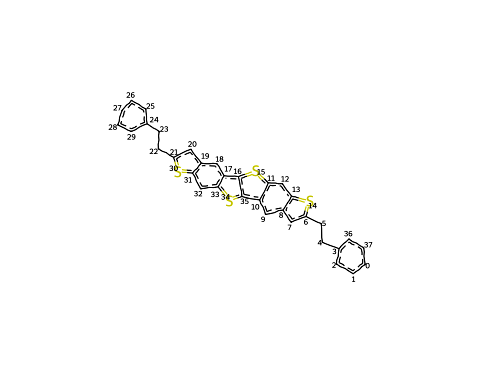 c1ccc(CCc2cc3cc4c(cc3s2)sc2c3cc5cc(CCc6ccccc6)sc5cc3sc42)cc1